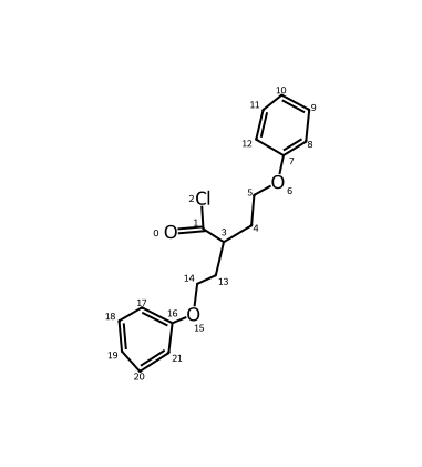 O=C(Cl)C(CCOc1ccccc1)CCOc1ccccc1